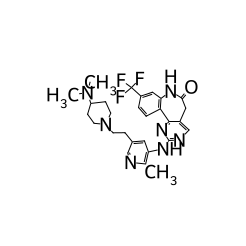 Cc1ncc(CCN2CCC(N(C)C)CC2)cc1Nc1ncc2c(n1)-c1ccc(C(F)(F)F)cc1NC(=O)C2